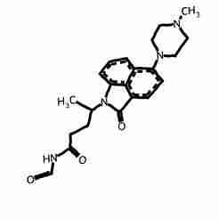 CC(CCC(=O)NC=O)N1C(=O)c2ccc(N3CCN(C)CC3)c3cccc1c23